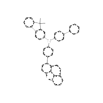 CC1(C)c2ccccc2-c2ccc(N(c3ccc(-c4ccccc4)cc3)c3ccc(-c4ccc5oc6cccc7ccc4c5c76)cc3)cc21